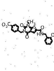 CCOc1ccccc1CNC(=O)c1cc2c(=O)n(Cc3ccc(C(=O)O)cc3)c(=O)n(C)c2s1